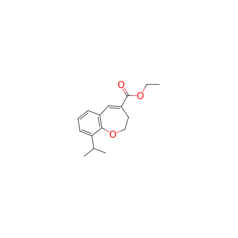 CCOC(=O)C1=Cc2cccc(C(C)C)c2OCC1